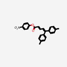 Cc1ccc(C(=C/C=C/C(=O)Oc2ccc([N+](=O)[O-])cc2)c2ccc(C)cc2)cc1